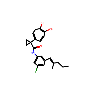 CCC/C(C)=C/c1cc(F)cc(NC(=O)C2(C3=CCC(O)=C(O)C=C3)CC2)c1